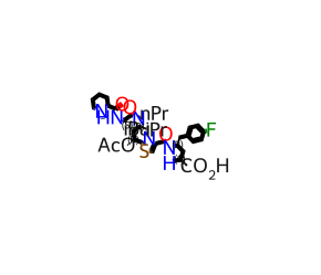 CCCN(C(=O)C(NC(=O)C1CCCCN1C)[C@@H](C)CC)[C@H](C[C@@H](OC(C)=O)c1nc(C(=O)N[C@@H](Cc2ccc(F)cc2)C[C@H](C)C(=O)O)cs1)C(C)C